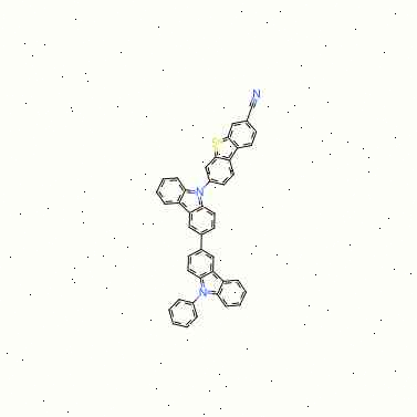 N#Cc1ccc2c(c1)sc1cc(-n3c4ccccc4c4cc(-c5ccc6c(c5)c5ccccc5n6-c5ccccc5)ccc43)ccc12